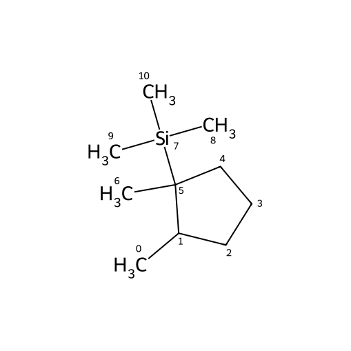 CC1CCCC1(C)[Si](C)(C)C